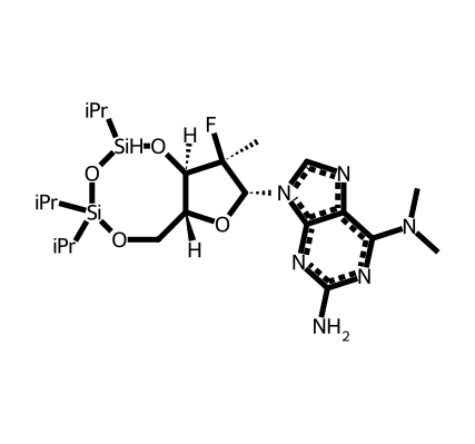 CC(C)[SiH]1O[C@@H]2[C@@H](CO[Si](C(C)C)(C(C)C)O1)O[C@@H](n1cnc3c(N(C)C)nc(N)nc31)[C@]2(C)F